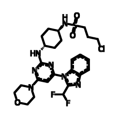 O=S(=O)(CCCCl)N[C@H]1CC[C@H](Nc2nc(N3CCOCC3)cc(-n3c(C(F)F)nc4ccccc43)n2)CC1